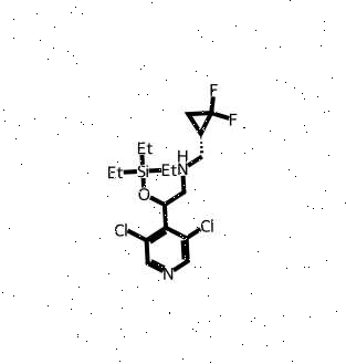 CC[Si](CC)(CC)OC(CNC[C@@H]1CC1(F)F)c1c(Cl)cncc1Cl